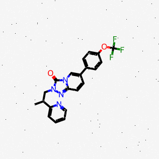 CC(Cn1nc2ccc(-c3ccc(OC(F)(F)F)cc3)cn2c1=O)c1ccccn1